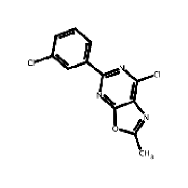 Cc1nc2c(Cl)nc(-c3cccc(Cl)c3)nc2o1